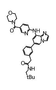 CC(C)(C)CNC(=O)Cc1cccc(-c2cc(Nc3ccc(C(=O)N4CCOCC4)cn3)c3nccn3c2)c1